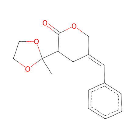 CC1(C2CC(=Cc3ccccc3)COC2=O)OCCO1